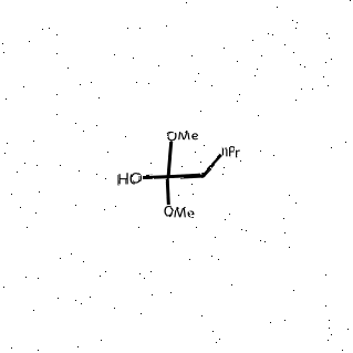 CCCCC(O)(OC)OC